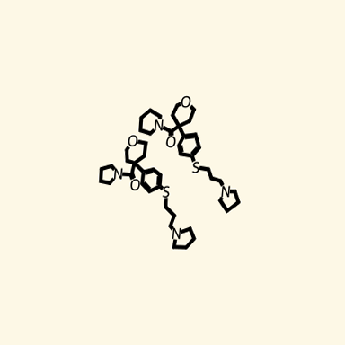 O=C(N1CCCC1)C1(c2ccc(SCCCN3CCCC3)cc2)CCOCC1.O=C(N1CCCCC1)C1(c2ccc(SCCCN3CCCC3)cc2)CCOCC1